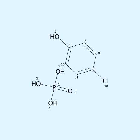 O=P(O)(O)O.Oc1ccc(Cl)cc1